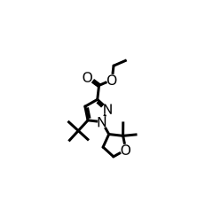 CCOC(=O)c1cc(C(C)(C)C)n(C2CCOC2(C)C)n1